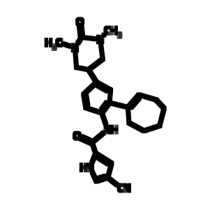 CN1CC(c2ccc(NC(=O)c3cc(C#N)c[nH]3)c(C3=CCCCCC3)c2)CN(C)C1=O